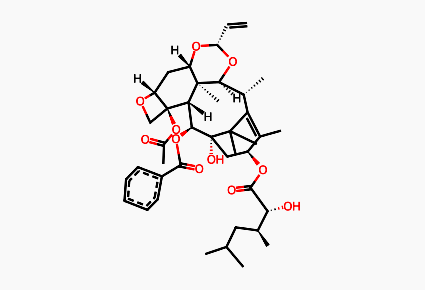 C=C[C@H]1O[C@H]2C[C@H]3OC[C@@]3(OC(C)=O)[C@H]3[C@H](OC(=O)c4ccccc4)[C@]4(O)C[C@H](OC(=O)[C@H](O)[C@@H](C)CC(C)C)C(C)=C([C@@H](C)[C@H](O1)[C@]23C)C4(C)C